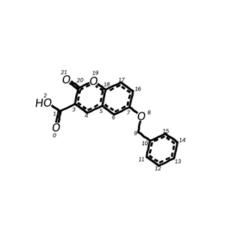 O=C(O)c1cc2cc(OCc3ccccc3)ccc2oc1=O